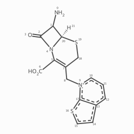 NC1C(=O)N2C(C(=O)O)=C(C[n+]3cccc4ccsc43)CS[C@H]12